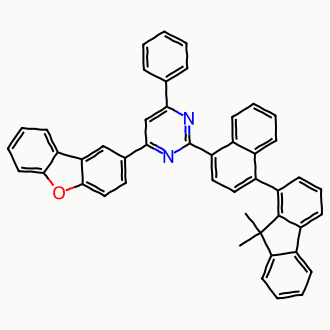 CC1(C)c2ccccc2-c2cccc(-c3ccc(-c4nc(-c5ccccc5)cc(-c5ccc6oc7ccccc7c6c5)n4)c4ccccc34)c21